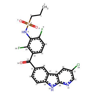 CCCS(=O)(=O)Nc1c(F)ccc(C(=O)c2ccc3[nH]c4ncc(Cl)cc4c3c2)c1F